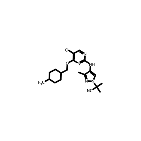 Cc1nn(C(C)(C)C#N)cc1Nc1ncc(Cl)c(OCC2CCC(C(F)(F)F)CC2)n1